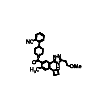 COCCc1nnc(-c2cc(C(=O)N3CCC(c4ccccc4C#N)CC3)c(C)cc2C2CCC2)[nH]1